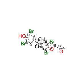 CC(C)(C1=CC(Br)=C(O)C(Br)C1)C1=CC(Br)=C(OCC2CO2)C(Br)C1